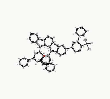 CCC(CC)(CC)c1ccc(-c2ccc3c(c2)c2ccc4c5ccccc5n(-c5nc(-c6ccccc6)nc(-c6ccccc6)n5)c4c2n3-c2ccccc2)cc1-c1ccccn1